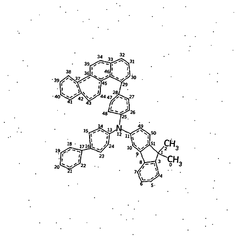 CC1(C)c2ccccc2-c2cc(N(c3ccc(-c4ccccc4)cc3)c3ccc(-c4cccc5ccc6c7ccccc7ccc6c45)cc3)ccc21